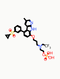 Cc1cnc2[nH]c3c(OCCCN(CCOP(=O)(O)O)CC(F)(F)F)ccc(-c4cccc(S(=O)(=O)C5CC5)c4)c3c2c1